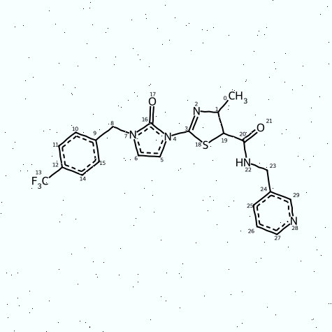 CC1N=C(n2ccn(Cc3ccc(C(F)(F)F)cc3)c2=O)SC1C(=O)NCc1cccnc1